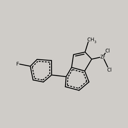 CC1=Cc2c(-c3ccc(F)cc3)cccc2[CH]1[Zr]([Cl])[Cl]